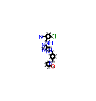 N#Cc1ccc(Cl)cc1CNc1ncnc2nn(Cc3ccc(Cn4ccccc4=O)cc3)cc12